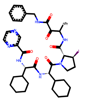 CCCC(NC(=O)[C@@H]1[C@@H](I)CCN1C(=O)[C@@H](NC(=O)[C@@H](NC(=O)c1cnccn1)C1CCCCC1)C1CCCCC1)C(=O)C(=O)NCc1ccccc1